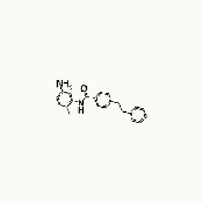 Cc1ccc(N)cc1NC(=O)c1ccc(CCc2ccccc2)cc1